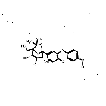 CCOc1ccc(Cc2cc(C34OC(C)(C)C(CO)(O3)[C@@H](O)[C@H](O)[C@H]4O)ccc2Cl)cc1